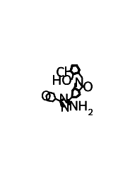 Nc1ncc(C2CCOCC2)nc1-c1ccc2c(c1)CN(Cc1cccc(Cl)c1CO)C2=O